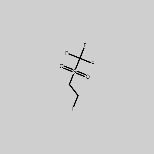 O=S(=O)(CCI)C(F)(F)F